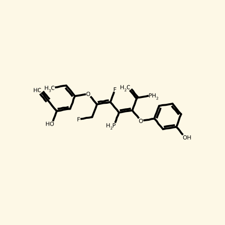 C#C/C(O)=C\C(=C/C)O/C(CF)=C(F)/C(P)=C(/Oc1cccc(O)c1)C(=C)P